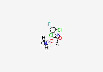 Fc1cc(Cl)c(-c2noc(C3CC3)c2COC2C[C@H]3CC[C@@H](C2)N3)c(Cl)c1